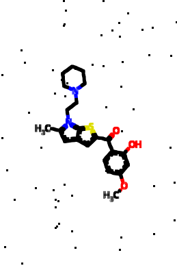 COc1ccc(C(=O)c2cc3cc(C)n(CCN4CCCCC4)c3s2)c(O)c1